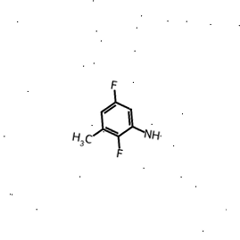 Cc1cc(F)cc([NH])c1F